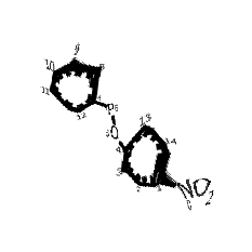 O=[N+]([O-])c1ccc(O[P]c2ccccc2)cc1